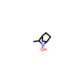 CC1C2CCC(C2)N1O